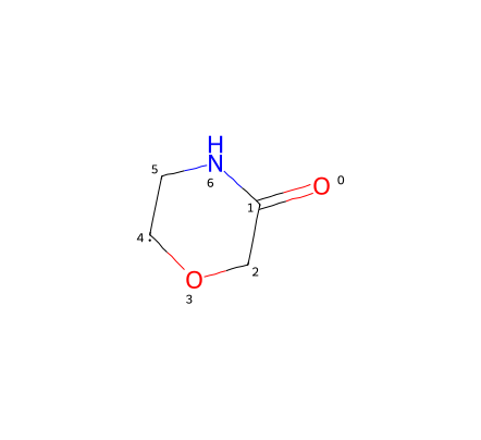 O=C1CO[CH]CN1